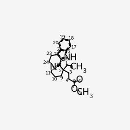 CCC1(CCC(=O)OC)CCC[N+]2=C1c1[nH]c3ccccc3c1CC2